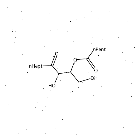 CCCCCCCC(=O)C(O)C(CO)OC(=O)CCCCC